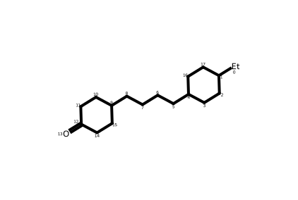 CCC1CCC(CCCCC2CCC(=O)CC2)CC1